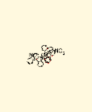 O=[N+]([O-])c1ccccc1Cc1ccccc1[Si](O[Si](c1ccccc1)(c1ccccc1)c1ccccc1Cc1ccccc1[N+](=O)[O-])(c1ccccc1)c1ccccc1